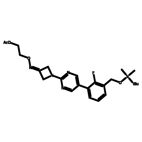 CC(=O)OCCON=C1CN(c2ncc(-c3cccc(CO[Si](C)(C)C(C)(C)C)c3F)cn2)C1